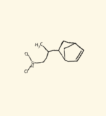 CC(C[SiH](Cl)Cl)C1CC2C=CC1C2